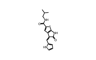 CC(C)CNC(=O)c1cc2c(s1)NC(=O)/C2=C\c1ccc[nH]1